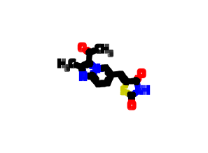 CC(=O)c1c(C)nc2ccc(/C=C3\SC(=O)NC3=O)cn12